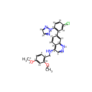 COc1ccc(CNc2cnnc3cc(-c4cc(Cl)ccc4-n4nccn4)ccc23)c(OC)c1